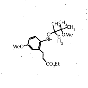 CCOC(=O)CCc1cc(OC)ccc1BOC(C)(C)C(C)(C)OC